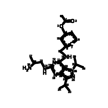 CC(=O)Oc1cccc(CNc2nc(NCC(C)N)nc3c(C(C)C)nn(C(C)C)c23)c1